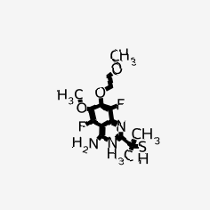 COCCOc1c(OC)c(F)c2c(N)nc(C(C)(C)S)nc2c1F